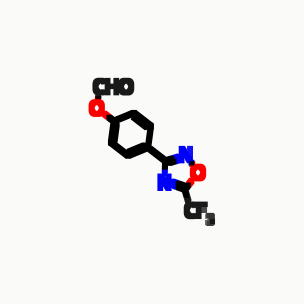 O=COc1ccc(-c2noc(C(F)(F)F)n2)cc1